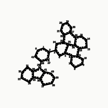 c1cc(-c2cc3c4ccccc4c4cccc5c6ccccc6c(c2)c3c45)nc(-n2c3ccccc3c3ccccc32)c1